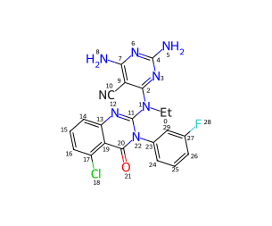 CCN(c1nc(N)nc(N)c1C#N)c1nc2cccc(Cl)c2c(=O)n1-c1cccc(F)c1